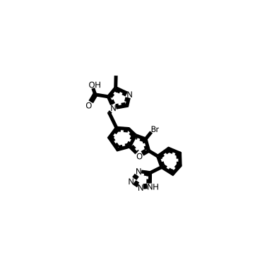 Cc1ncn(Cc2ccc3oc(-c4ccccc4-c4nnn[nH]4)c(Br)c3c2)c1C(=O)O